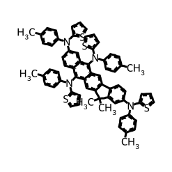 Cc1ccc(N(c2ccc3c(c2)C(C)(C)c2cc4c(N(c5ccc(C)cc5)c5cccs5)c5ccc(N(c6ccc(C)cc6)c6cccs6)cc5c(N(c5ccc(C)cc5)c5cccs5)c4cc2-3)c2cccs2)cc1